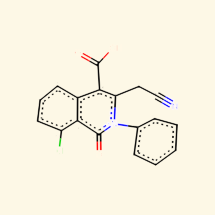 N#CCc1c(C(=O)O)c2cccc(Cl)c2c(=O)n1-c1ccccc1